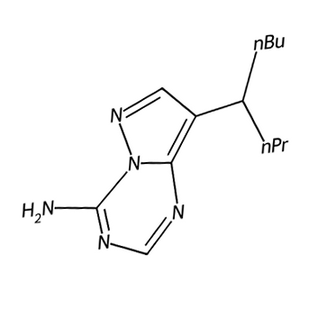 CCCCC(CCC)c1cnn2c(N)ncnc12